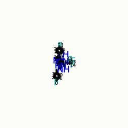 Fc1ccc(CNc2nc(NCC(F)(F)F)c3nc(-c4ccc(F)cc4)cnc3n2)cc1